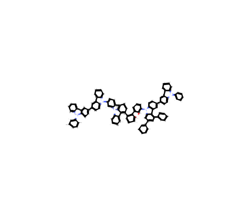 c1ccc(-c2cc(-c3ccccc3)c3c4cc(-c5ccc6c(c5)c5ccccc5n6-c5ccccc5)ccc4n(-c4cccc5c4oc4cccc(-c6ccc7c8ccc(-n9c%10ccccc%10c%10cc(-c%11ccc%12c(c%11)c%11ccccc%11n%12-c%11ccccc%11)ccc%109)cc8n8c9ccccc9c6c78)c45)c3c2)cc1